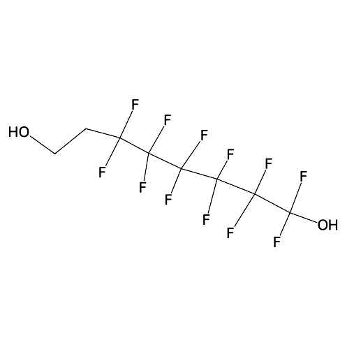 OCCC(F)(F)C(F)(F)C(F)(F)C(F)(F)C(F)(F)C(O)(F)F